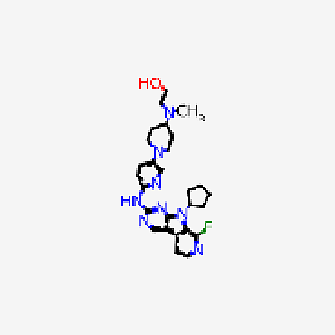 CN(CCO)C1CCN(c2ccc(Nc3ncc4c5ccnc(F)c5n(C5CCCC5)c4n3)nc2)CC1